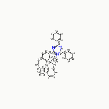 C1=CC2c3ccccc3C3(c4ccccc4C=Cc4ccc(-c5nc(-c6ccccc6)nc(-c6ccccc6)n5)cc43)C2C=C1